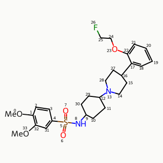 COc1ccc(S(=O)(=O)NC2CCC(N3CCC(c4ccccc4OCCF)CC3)CC2)cc1OC